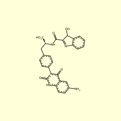 Nc1ccc2[nH]c(=O)n(-c3ccc(C[C@H](NC(=O)C4=Nc5ccccc5C4O)C(=O)O)cc3)c(=O)c2c1